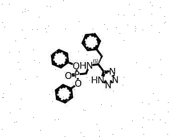 O=P(CN[C@@H](Cc1ccccc1)c1nnn[nH]1)(Oc1ccccc1)Oc1ccccc1